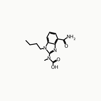 CCCCn1c(N(C)C(=O)O)nc2c(C(N)=O)cccc21